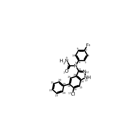 NC(=O)N(c1ccc(F)cc1)c1n[nH]c2cc(Cl)c(-c3ccccc3)cc12